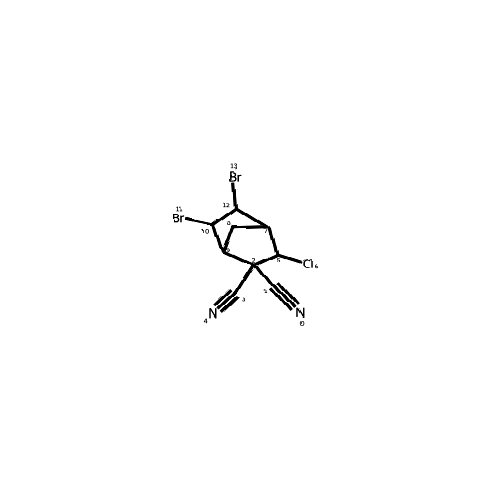 N#CC1(C#N)C(Cl)C2CC1C(Br)C2Br